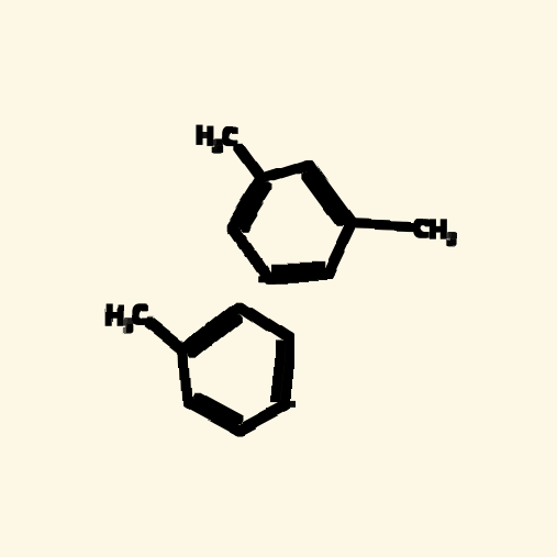 Cc1c[c]cc(C)c1.Cc1cc[c]cc1